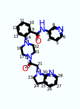 O=C(Nc1cccnc1)c1ccccc1N1CCN(C(=O)CN2CCc3cccnc32)CC1